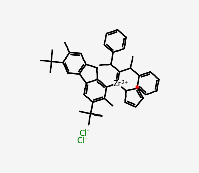 Cc1cc2c(cc1C(C)(C)C)-c1cc(C(C)(C)C)c(C)[c]([Zr+2](=[C](C(C)c3ccccc3)C(C)c3ccccc3)[CH]3C=CC=C3)c1C2.[Cl-].[Cl-]